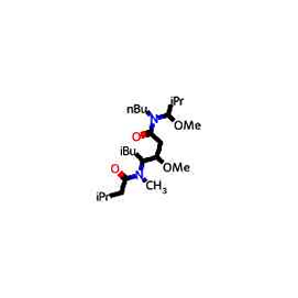 CCCCN(C(=O)CC(OC)C(C(C)CC)N(C)C(=O)CC(C)C)C(OC)C(C)C